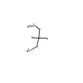 CCCCCCC(C)(C)C[C](C)C